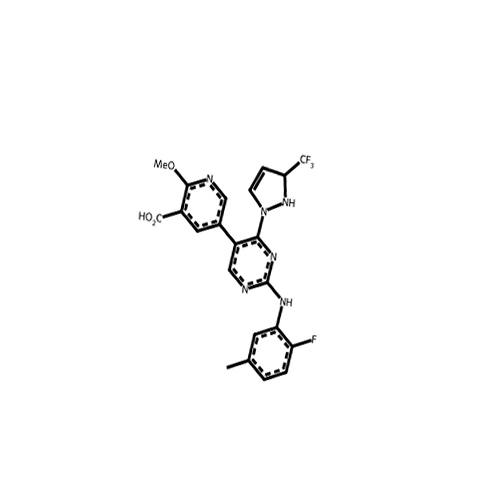 COc1ncc(-c2cnc(Nc3cc(C)ccc3F)nc2N2C=CC(C(F)(F)F)N2)cc1C(=O)O